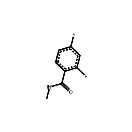 CNC(=O)c1ccc(F)cc1F